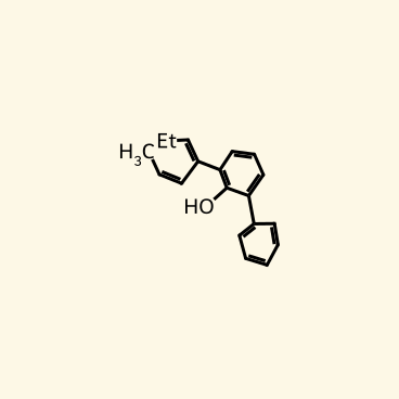 C/C=C\C(=C/CC)c1cccc(-c2ccccc2)c1O